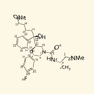 CNC[C@H](C)NC(=O)N1CCC[C@@H]([C@@](O)(CCCCOC)c2ccccc2Oc2ccc(F)cc2)C1